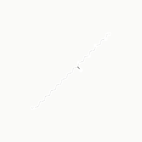 CCCOCCOCCOCCOC(=O)CCCCCCCCCCCCCCC(C)C